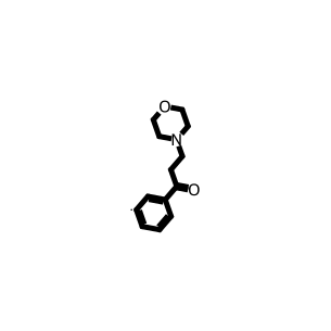 O=C(CCN1CCOCC1)c1c[c]ccc1